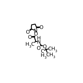 CC(NC(=O)OC(C)(C)C)C(=O)ON1C(=O)CCC1=O